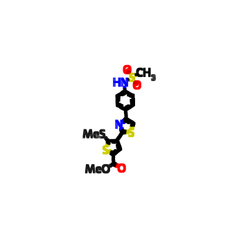 COC(=O)c1cc(-c2nc(-c3ccc(NS(C)(=O)=O)cc3)cs2)c(SC)s1